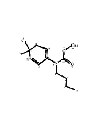 CC1(Cl)CC=C(N(CCCF)C(=O)OC(C)(C)C)C=N1